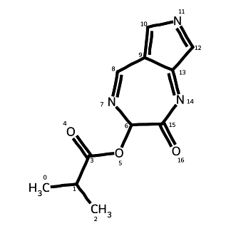 CC(C)C(=O)OC1N=CC2=CN=CC2=NC1=O